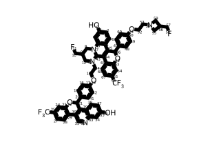 Oc1ccc2c(c1)N1CC(CF)CN(CCOc3ccc(C4Oc5cc(C(F)(F)F)ccc5-c5cnc6cc(O)ccc6c54)cc3)C1C1=C2C(c2ccc(OCCN3CC(CF)C3)cc2)Oc2cc(C(F)(F)F)ccc21